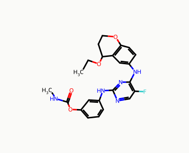 CCOC1CCOc2ccc(Nc3nc(Nc4cccc(OC(=O)NC)c4)ncc3F)cc21